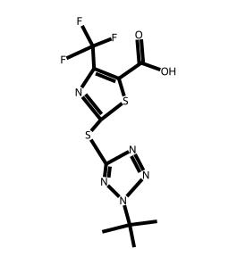 CC(C)(C)n1nnc(Sc2nc(C(F)(F)F)c(C(=O)O)s2)n1